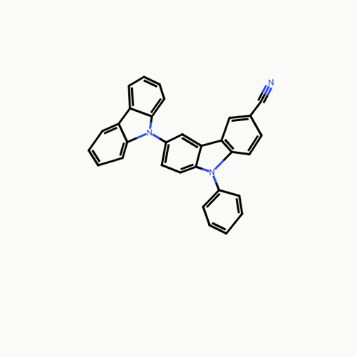 N#Cc1ccc2c(c1)c1cc(-n3c4ccccc4c4ccccc43)ccc1n2-c1ccccc1